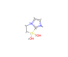 OS1(O)CCn2c[c]nc21